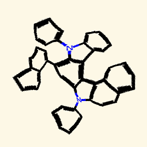 c1ccc(-n2c3ccc4ccccc4c3c3c4c5ccccc5n(-c5ccccc5)c4c(-c4cccc5ccccc45)cc32)cc1